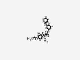 CCOc1ccc(C(C)(C)C(=O)OCc2cccc(Oc3ccccc3)c2)cc1